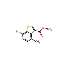 COC(=O)c1csc2c(Br)ccc(C)c12